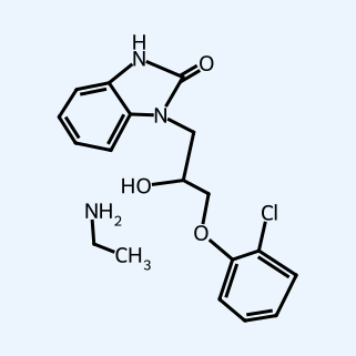 CCN.O=c1[nH]c2ccccc2n1CC(O)COc1ccccc1Cl